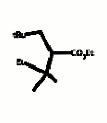 CCOC(=O)C(CC(C)(C)C)C(C)(C)CC